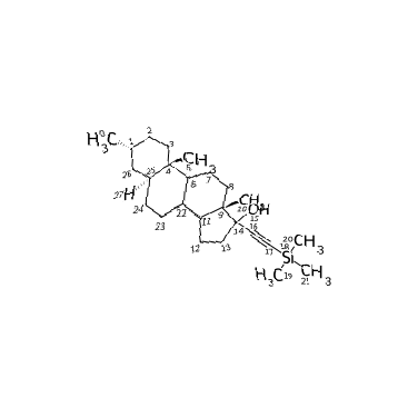 C[C@@H]1CC[C@]2(C)C3CC[C@@]4(C)C(CCC4(O)C#C[Si](C)(C)C)C3CC[C@H]2C1